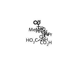 CN[C@H](C(=O)N[C@H](C(=O)N(C)[C@H](/C=C(\C)C(=O)N[C@H](CCC(=O)O)C(=O)O)C(C)C)C(C)(C)C)C(C)(C)c1cn(C)c2ccccc12